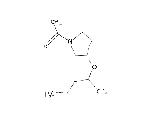 CCCC(C)O[C@H]1CCN(C(C)=O)C1